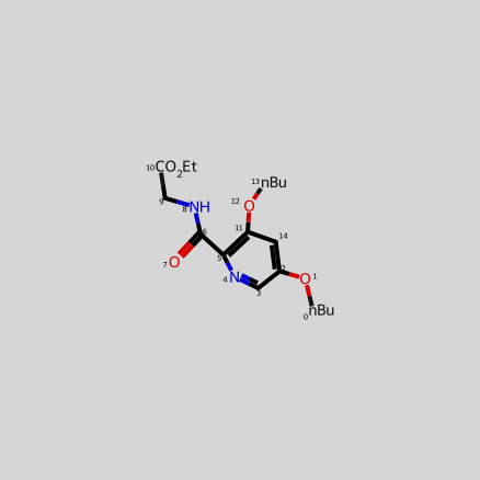 CCCCOc1cnc(C(=O)NCC(=O)OCC)c(OCCCC)c1